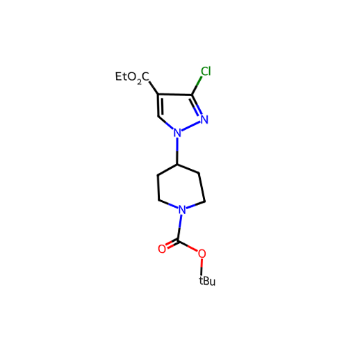 CCOC(=O)c1cn(C2CCN(C(=O)OC(C)(C)C)CC2)nc1Cl